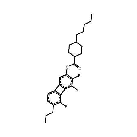 CCCCCC1CCC(C(=O)Oc2cc3c(c(F)c2F)-c2c-3ccc(CCC)c2F)CC1